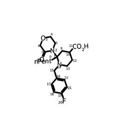 CCCCCC1(N2CCOCC2=O)CC(C(=O)O)CCN1Cc1ccc(F)cc1